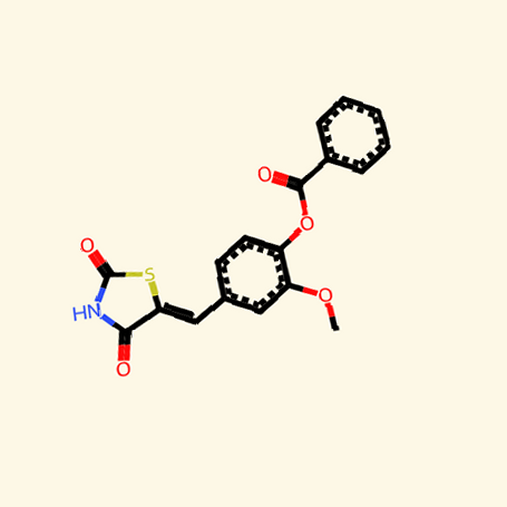 COc1cc(/C=C2\SC(=O)NC2=O)ccc1OC(=O)c1ccccc1